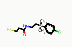 C[Si](C)(CCNC(=O)CCS)c1ccc(Cl)cc1